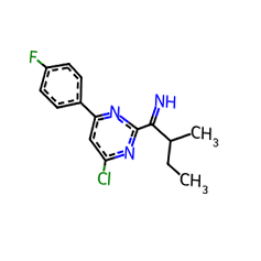 CCC(C)C(=N)c1nc(Cl)cc(-c2ccc(F)cc2)n1